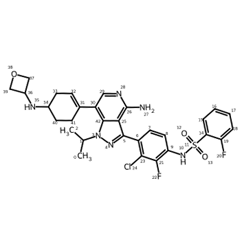 CC(C)n1nc(-c2ccc(NS(=O)(=O)c3ccccc3F)c(F)c2Cl)c2c(N)ncc(C3=CCC(NC4COC4)CC3)c21